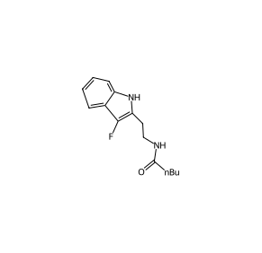 CCCCC(=O)NCCc1[nH]c2ccccc2c1F